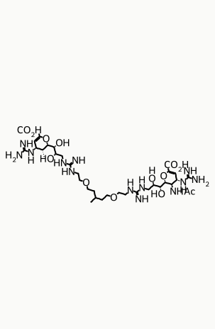 CC(=O)N[C@H]1[C@H]([C@H](O)[C@H](O)CNC(=N)NCCOCCC(C)CCOCCNC(=N)NC[C@@H](O)[C@@H](O)[C@@H]2OC(C(=O)O)=C[C@H](NC(=N)N)[C@H]2C)OC(C(=O)O)=C[C@@H]1NC(=N)N